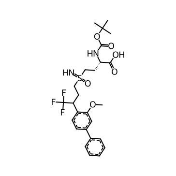 COc1cc(-c2ccccc2)ccc1C(CCS(=N)(=O)CC[C@H](NC(=O)OC(C)(C)C)C(=O)O)C(F)(F)F